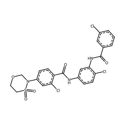 O=C(Nc1cc(NC(=O)c2ccc(N3COCCS3(=O)=O)cc2Cl)ccc1Cl)c1cccc(Cl)c1